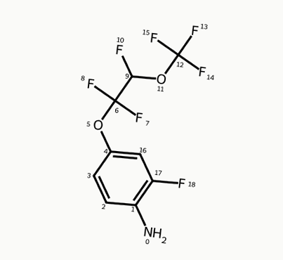 Nc1ccc(OC(F)(F)C(F)OC(F)(F)F)cc1F